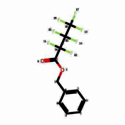 O=C(OCc1ccccc1)C(F)(F)C(F)(F)C(F)(F)F